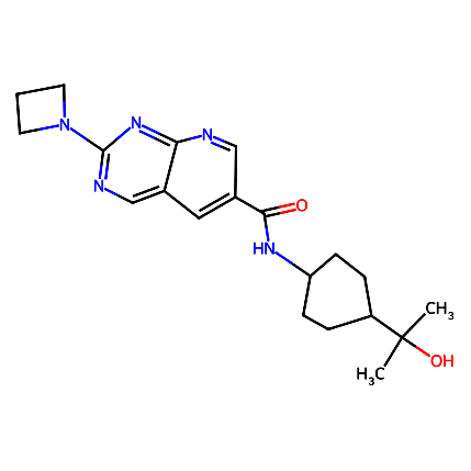 CC(C)(O)C1CCC(NC(=O)c2cnc3nc(N4CCC4)ncc3c2)CC1